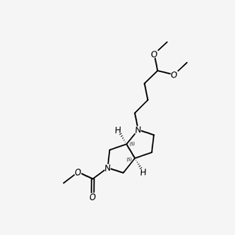 COC(=O)N1C[C@@H]2CCN(CCCC(OC)OC)[C@@H]2C1